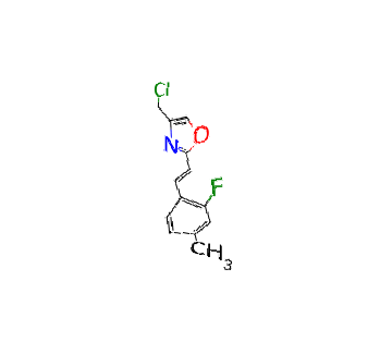 Cc1ccc(/C=C/c2nc(CCl)co2)c(F)c1